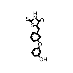 O=C1NC(=S)S/C1=C\c1cccc(Oc2cccc(O)c2)c1